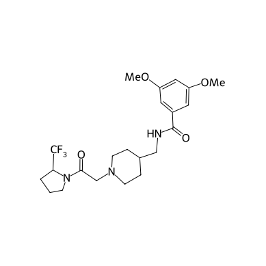 COc1cc(OC)cc(C(=O)NCC2CCN(CC(=O)N3CCCC3C(F)(F)F)CC2)c1